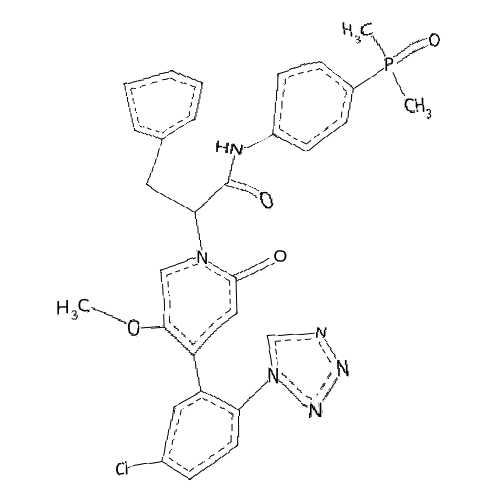 COc1cn(C(Cc2ccccc2)C(=O)Nc2ccc(P(C)(C)=O)cc2)c(=O)cc1-c1cc(Cl)ccc1-n1cnnn1